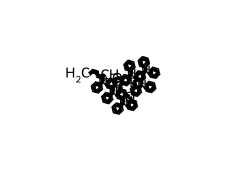 C=C/C=C\C=C(/C)N(c1ccccc1)c1cc2c3c(c1)N(c1ccccc1)c1cc4c(cc1B3c1cc3c(cc1O2)N(c1ccccc1)c1cc(N(c2ccccc2)c2ccccc2)cc2c1B3c1ccccc1N2c1ccccc1)Oc1ccccc1N4c1ccccc1